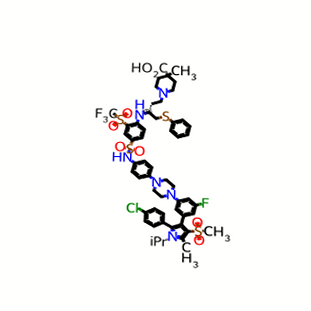 Cc1c(S(C)(=O)=O)c(-c2cc(F)cc(N3CCN(c4ccc(NS(=O)(=O)c5ccc(N[C@H](CCN6CCC(C)(C(=O)O)CC6)CSc6ccccc6)c(S(=O)(=O)C(F)(F)F)c5)cc4)CC3)c2)c(-c2ccc(Cl)cc2)n1C(C)C